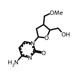 COCC1CC(n2ccc(N)nc2=O)OC1CO